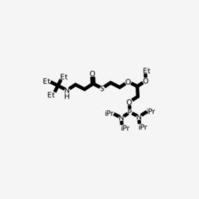 CCOC(COP(N(C(C)C)C(C)C)N(C(C)C)C(C)C)OCCSC(=O)CCNC(CC)(CC)CC